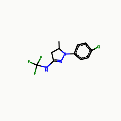 CC1CC(NC(F)(F)F)=NN1c1ccc(Cl)cc1